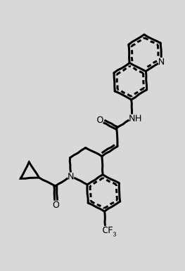 O=C(/C=C1\CCN(C(=O)C2CC2)c2cc(C(F)(F)F)ccc21)Nc1ccc2cccnc2c1